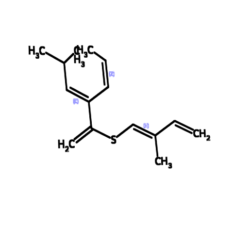 C=C/C(C)=C/SC(=C)C(/C=C\C)=C/C(C)C